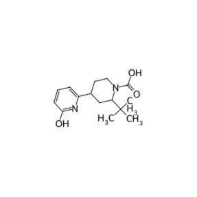 CC(C)(C)C1CC(c2cccc(O)n2)CCN1C(=O)O